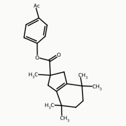 CC(=O)c1ccc(OC(=O)C2(C)CC3=C(C2)C(C)(C)CCC3(C)C)cc1